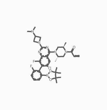 C=CC(=O)N1C[C@H](C)N(c2nc(N3CC(N(C)C)C3)nc3c(F)c(-c4c(F)cccc4B4OC(C)(C)C(C)(C)O4)c(Cl)cc23)C[C@H]1C